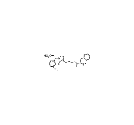 O=C(O)C[C@@H](c1cccc(C(F)(F)F)c1)N1CCN(CCCCNC2=NCc3ccccc3C2)C1=O